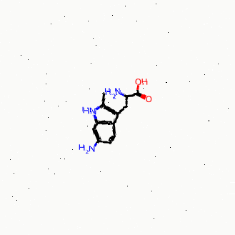 Cc1[nH]c2cc(N)ccc2c1CC(N)C(=O)O